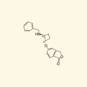 O=C1OCc2cc(O[C@H]3CC[C@@H]3NCc3ccccc3)ccc21